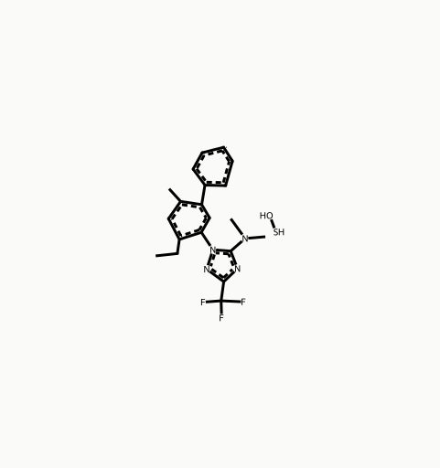 CCc1cc(C)c(-c2cc[c]cc2)cc1-n1nc(C(F)(F)F)nc1N(C)C.OS